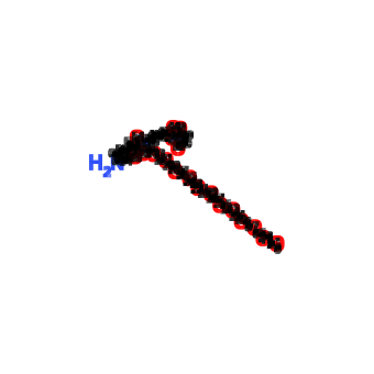 COCCOCCOCCOCCOCCOCCOCCOCCOCCOCCOCCOCCN(CCCCCC(=O)ON1C(=O)CCC1=O)C(=O)c1c(C)c2cc(C)c(N)cc2oc1=O